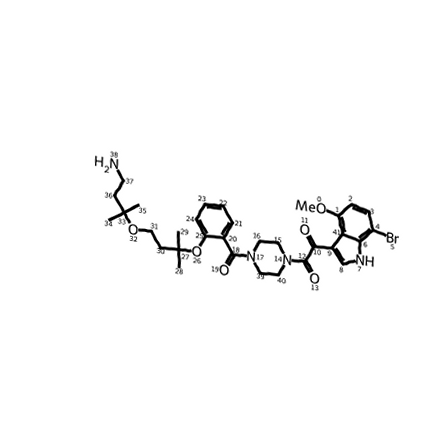 COc1ccc(Br)c2[nH]cc(C(=O)C(=O)N3CCN(C(=O)c4ccccc4OC(C)(C)CCOC(C)(C)CCN)CC3)c12